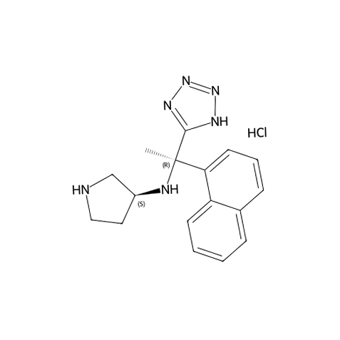 C[C@](N[C@H]1CCNC1)(c1nnn[nH]1)c1cccc2ccccc12.Cl